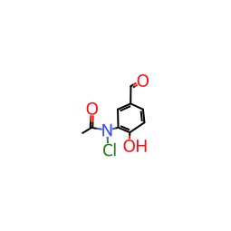 CC(=O)N(Cl)c1cc(C=O)ccc1O